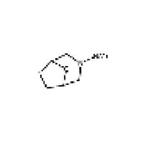 CNN1CC2CCC(C1)O2